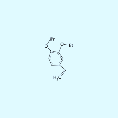 C=[C]c1ccc(OC(C)C)c(OCC)c1